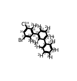 [2H]c1c([2H])c([2H])c(-c2c([2H])c([2H])c([2H])c(-c3c([2H])c(Cl)cc(Br)c3[2H])c2[2H])c([2H])c1[2H]